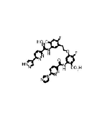 O=C(Nc1cc(CCOc2cc(NC(=O)c3ccc(-n4ccnc4)nn3)c(C(=O)O)cc2F)c(F)cc1C(=O)O)c1ccc(-c2cn[nH]c2)nn1